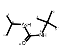 [CH2]C(C)(C)NC(=O)[AsH]C(C)C